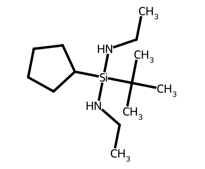 CCN[Si](NCC)(C1CCCC1)C(C)(C)C